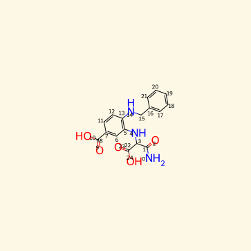 NC(=O)C(Nc1cc(C(=O)O)ccc1NCc1ccccc1)C(=O)O